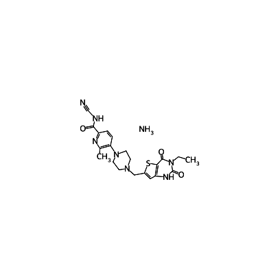 CCn1c(=O)[nH]c2cc(CN3CCN(c4ccc(C(=O)NC#N)nc4C)CC3)sc2c1=O.N